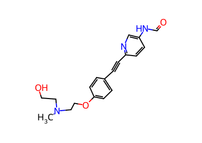 CN(CCO)CCOc1ccc(C#Cc2ccc(NC=O)cn2)cc1